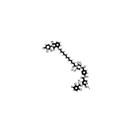 C[C@@H]1CN(C(=O)c2ccc(NC(=O)c3cc(O[C@H](C)c4c(Cl)ccc(F)c4Cl)c(N)nn3)cc2)C[C@H](C)N1C(=O)CCCCCCCCCCCSc1cccc2c1C(=O)N(C1CCC(=O)NC1=O)C2=O